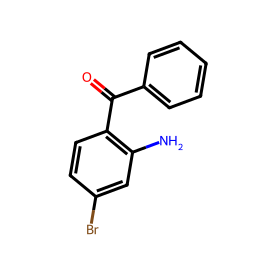 Nc1cc(Br)ccc1C(=O)c1ccccc1